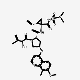 C=C[C@@H]1C[C@]1(NC(=O)[C@@H]1C[C@@H](Oc2ccnc3c(C)c(OC)ccc23)CN1C(=O)[C@@H](O)C(=C)C)C(=O)NS(=O)(=O)N(C)C